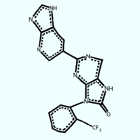 O=c1[nH]c2cnc(-c3cnc4nc[nH]c4c3)nc2n1-c1ccccc1C(F)(F)F